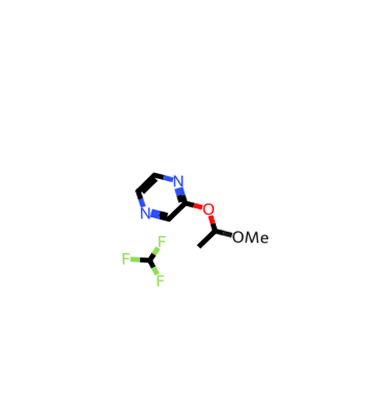 COC(C)Oc1cnccn1.FC(F)F